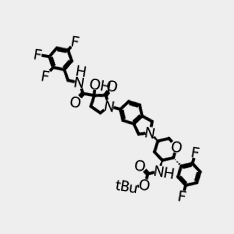 CC(C)(C)OC(=O)N[C@H]1C[C@@H](N2Cc3ccc(N4CCC(O)(C(=O)NCc5cc(F)cc(F)c5F)C4=O)cc3C2)CO[C@@H]1c1cc(F)ccc1F